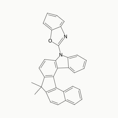 CC1(C)c2ccc3ccccc3c2-c2c1ccc1c2c2ccccc2n1-c1nc2ccccc2o1